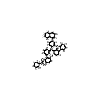 c1ccc(-c2nc3ccc4oc5c(N(c6ccc(-c7cccc8ccccc78)cc6)c6cccc7c6sc6ccccc67)cccc5c4c3o2)cc1